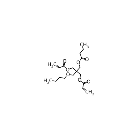 C=CC(=O)OCC(COCCCC)(COC(=O)C=C)COC(=O)CCC